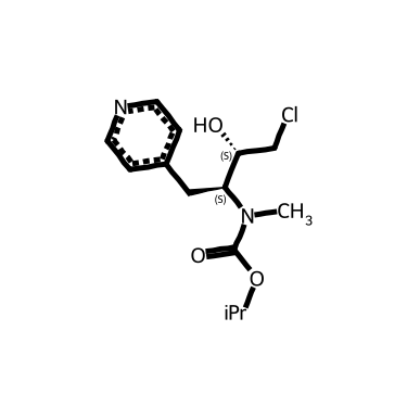 CC(C)OC(=O)N(C)[C@@H](Cc1ccncc1)[C@H](O)CCl